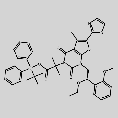 CCO[C@@H](Cn1c(=O)n(C(C)(C)C(=O)O[Si](c2ccccc2)(c2ccccc2)C(C)(C)C)c(=O)c2c(C)c(-c3ncco3)sc21)c1ccccc1OC